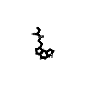 CCC(=O)NCCC1CCc2ccc3c(c21)CCO3